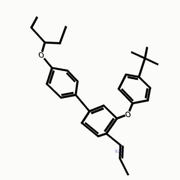 C/C=C/c1ccc(-c2ccc(OC(CC)CC)cc2)cc1Oc1ccc(C(C)(C)C)cc1